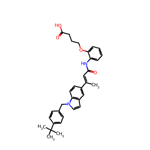 C/C(=C\C(=O)Nc1ccccc1OCCCC(=O)O)c1ccc2c(ccn2Cc2ccc(C(C)(C)C)cc2)c1